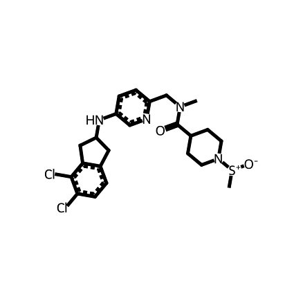 CN(Cc1ccc(NC2Cc3ccc(Cl)c(Cl)c3C2)cn1)C(=O)C1CCN([S+](C)[O-])CC1